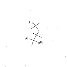 CCCC(C)(CCC)C(C)(C)CC(C)(C)S